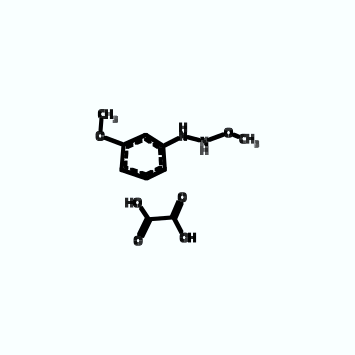 CONNc1cccc(OC)c1.O=C(O)C(=O)O